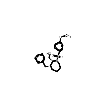 COc1ccc(S(=O)(=O)N2CCCC[C@@H](Cc3ccccc3)[C@H]2CO)cc1